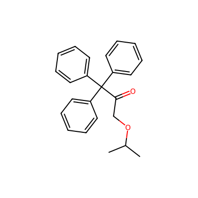 CC(C)OCC(=O)C(c1ccccc1)(c1ccccc1)c1ccccc1